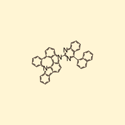 c1ccc2c(-c3nc(-n4c5cccc6c7ccccc7n7c8ccccc8c8ccc4c(c65)c87)nc4ccccc34)cccc2c1